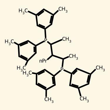 CCCC(C(C)P(c1cc(C)cc(C)c1)c1cc(C)cc(C)c1)C(C)P(c1cc(C)cc(C)c1)c1cc(C)cc(C)c1